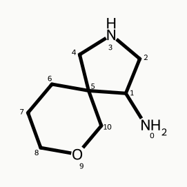 NC1CNCC12CCCOC2